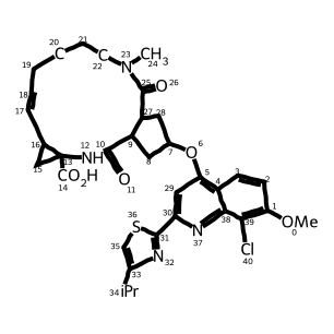 COc1ccc2c(OC3CC4C(=O)NC5(C(=O)O)CC5C=CCCCCN(C)C(=O)C4C3)cc(-c3nc(C(C)C)cs3)nc2c1Cl